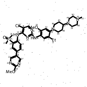 CCc1cc(Nc2ncc(Cl)c(Nc3ccc(-c4cnc(OC)nc4)cc3P(C)(C)=O)n2)c(OC)cc1N1CCC(N2CCN(C)CC2)CC1